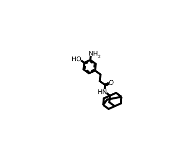 Nc1cc(CCC(=O)NC23CC4CC(CC(C4)C2)C3)ccc1O